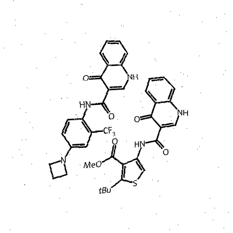 COC(=O)c1c(NC(=O)c2c[nH]c3ccccc3c2=O)csc1C(C)(C)C.O=C(Nc1ccc(N2CCC2)cc1C(F)(F)F)c1c[nH]c2ccccc2c1=O